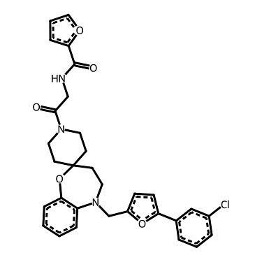 O=C(NCC(=O)N1CCC2(CC1)CCN(Cc1ccc(-c3cccc(Cl)c3)o1)c1ccccc1O2)c1ccco1